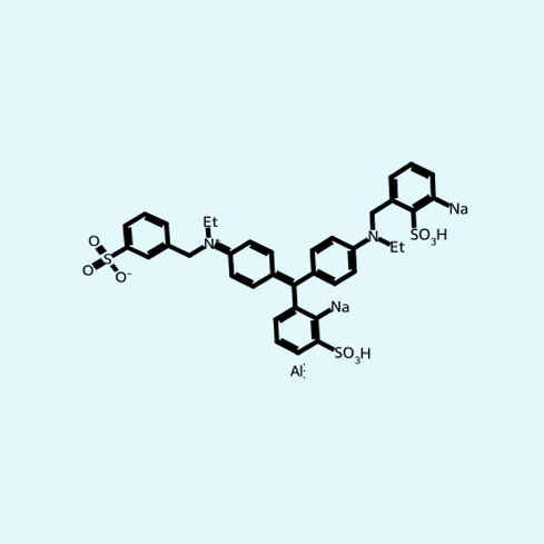 CCN(Cc1ccc[c]([Na])c1S(=O)(=O)O)c1ccc(C(=C2C=CC(=[N+](CC)Cc3cccc(S(=O)(=O)[O-])c3)C=C2)c2cccc(S(=O)(=O)O)[c]2[Na])cc1.[Al]